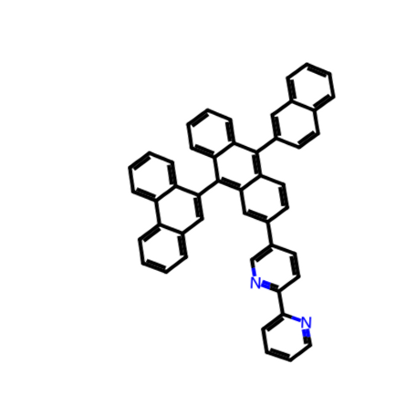 c1ccc(-c2ccc(-c3ccc4c(-c5ccc6ccccc6c5)c5ccccc5c(-c5cc6ccccc6c6ccccc56)c4c3)cn2)nc1